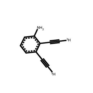 [3H]C#Cc1cccc(N)c1C#C[3H]